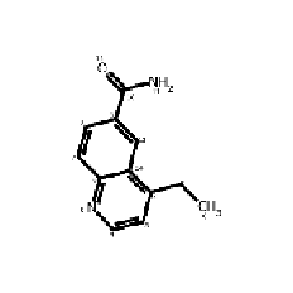 CCc1ccnc2ccc(C(N)=O)cc12